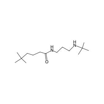 CC(C)(C)CCCC(=O)NCCCNC(C)(C)C